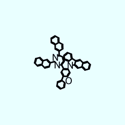 C1=CC(c2ccc3ccccc3c2)=NC(c2ccc3ccccc3c2)=NC=1c1cc2c(cc1-n1c3ccccc3c3cc4ccccc4cc31)oc1ccccc12